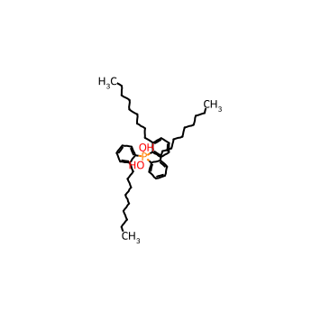 CCCCCCCCCc1ccccc1P(O)(O)(c1ccccc1CCCCCCCCC)c1ccccc1CCCCCCCCC